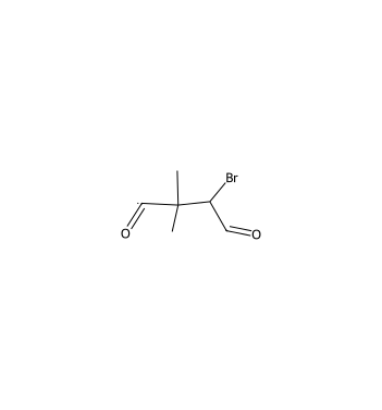 CC(C)([C]=O)C(Br)C=O